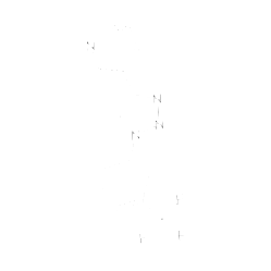 FC(F)(F)c1cccc(-n2cc(-c3cccnc3)nn2)c1